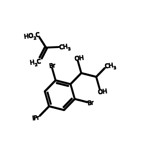 C=C(C)C(=O)O.CC(C)c1cc(Br)c(C(O)C(C)O)c(Br)c1